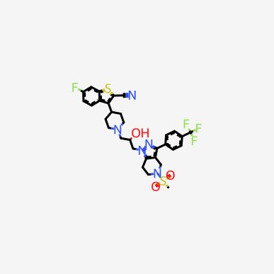 CS(=O)(=O)N1CCc2c(c(-c3ccc(C(F)(F)F)cc3)nn2CC(O)CN2CCC(c3c(C#N)sc4cc(F)ccc34)CC2)C1